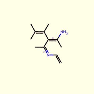 C=C/N=C(C)\C(C(C)=C(C)C)=C(/C)N